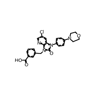 O=C(O)c1cccc(Cn2c(=O)n(-c3ccc(N4CCOCC4)cc3)c3cc(Cl)cnc32)c1